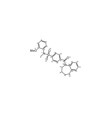 COc1ccccc1N(C)S(=O)(=O)c1ccc(C(=O)N2CCCSc3ccccc32)cc1